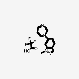 Cn1ncc2ccc(N3C=CC=NC=C3)cc21.O=C(O)C(F)(F)F